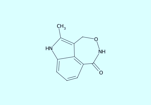 Cc1[nH]c2cccc3c2c1CONC3=O